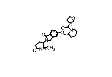 C=C1NC(=O)CCC1N1Cc2cc(OC[C@H]3CCCCN3C(=O)[C@H]3CCOC3)ccc2C1=O